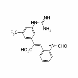 N=C(N)Nc1cc(C(=Cc2ccccc2NC=O)C(=O)O)cc(C(F)(F)F)c1